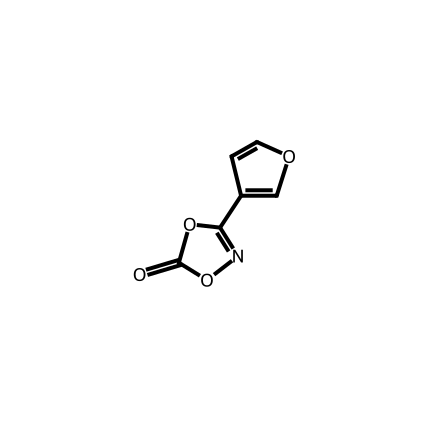 O=c1onc(-c2ccoc2)o1